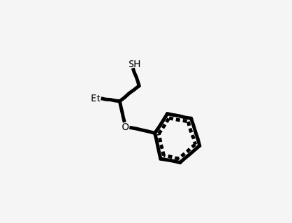 CCC(CS)Oc1ccccc1